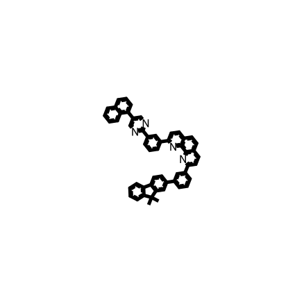 CC1(C)c2ccccc2-c2ccc(-c3cccc(-c4ccc5ccc6ccc(-c7cccc(-c8ncc(-c9cccc%10ccccc9%10)cn8)c7)nc6c5n4)c3)cc21